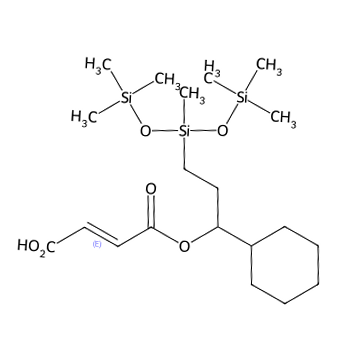 C[Si](C)(C)O[Si](C)(CCC(OC(=O)/C=C/C(=O)O)C1CCCCC1)O[Si](C)(C)C